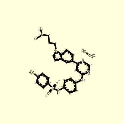 CCN(CC)CCCn1ccc2cc(-c3cc(Nc4ccc(NS(=O)(=O)c5ccc(C)cc5)cc4)ncn3)ccc21.O=CO